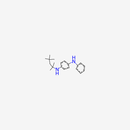 CC(C)(C)CC(C)(C)Nc1ccc(Nc2ccccc2)cc1